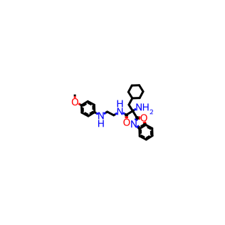 COc1ccc(NCCNC(=O)C(N)(CC2CCCCC2)c2nc3ccccc3o2)cc1